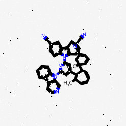 CC1C=CC=CC(C2(C)C=CC=C(C#N)C2)C1c1cc(-n2c3c(c4cc(C#N)ccc42)C=C(C#N)CC3)nc(-n2c3ccccc3c3ccncc32)c1